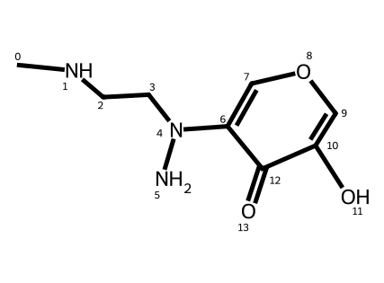 CNCCN(N)c1cocc(O)c1=O